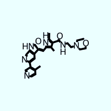 Cc1ccncc1-c1cc2c(cn1)NC(=O)/C2=C\c1[nH]c(C)c(C(=O)NCCN2CCOCC2)c1C